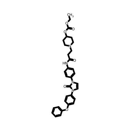 CCOC(=O)OC1CCN(CCC(=O)Nc2ccc(-n3ccn(-c4ccc(Oc5ccccc5)cc4)c3=O)cc2)CC1